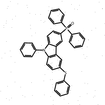 O=P(c1ccccc1)(c1ccccc1)c1ccc2c(c1)c1cc(Sc3ccccc3)ccc1n2-c1ccccc1